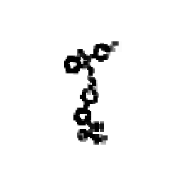 CC(C)C(=O)Nc1cccc(C2CCN(CCCn3c(-c4ccc(Cl)cc4)nc4ccccc43)CC2)c1